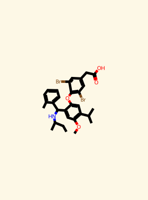 CCC(C)NC(c1ccccc1C)c1cc(OC)c(C(C)C)cc1Oc1c(Br)cc(CC(=O)O)cc1Br